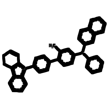 Cc1cc(N(c2ccccc2)c2ccc3ccccc3c2)ccc1-c1ccc(-n2c3c(c4ccccc42)CCC=C3)cc1